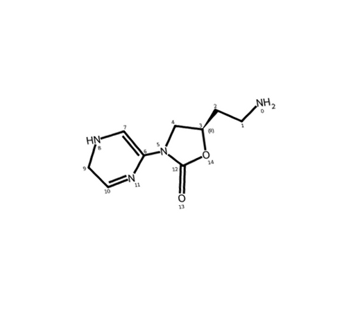 NCC[C@@H]1CN(C2=CNCC=N2)C(=O)O1